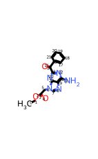 CCOC(=O)Cn1cnc2c(N)nc(C(=O)c3ccccc3)nc21